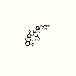 CC(C)C[C@@H](C(=O)Nc1ccn(C[C@@H](O)CO)n1)N1CC(Oc2cccc(Cl)c2Cl)=CC1=O.Cl